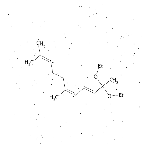 CCOC(C)(C=CC=C(C)CCC=C(C)C)OCC